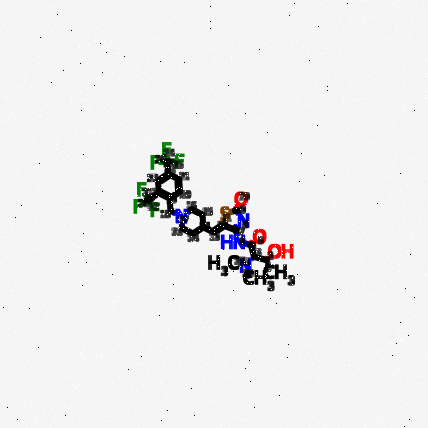 C[C@@H](O)[C@@H](C(=O)NC1=NC(=O)S/C1=C\C1CCN(Cc2ccc(C(F)(F)F)cc2C(F)(F)F)CC1)N(C)C